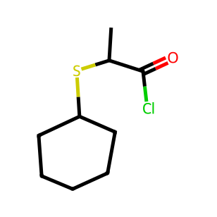 CC(SC1CCCCC1)C(=O)Cl